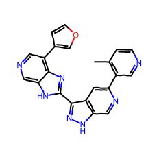 Cc1ccncc1-c1cc2c(-c3nc4c(-c5ccoc5)cncc4[nH]3)n[nH]c2cn1